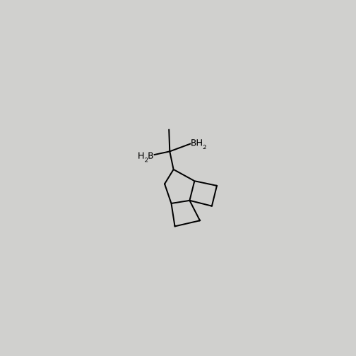 BC(B)(C)C1CC2CCC23CCC13